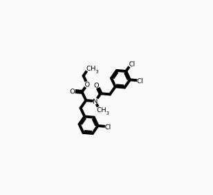 CCOC(=O)C(Cc1cccc(Cl)c1)N(C)C(=O)Cc1ccc(Cl)c(Cl)c1